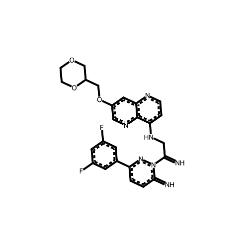 N=C(CNc1ccnc2cc(OCC3COCCO3)cnc12)n1nc(-c2cc(F)cc(F)c2)ccc1=N